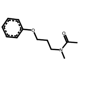 CC(=O)N(C)CCCOc1c[c]ccc1